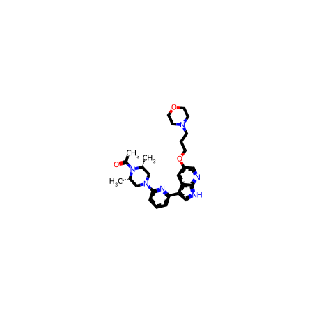 CC(=O)N1[C@H](C)CN(c2cccc(-c3c[nH]c4ncc(OCCCN5CCOCC5)cc34)n2)C[C@@H]1C